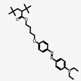 CCN(CC)c1ccc(N=Nc2ccc(OCCCCOC(=O)C(CC(C)(C)C)C(C)(C)C)cc2)cc1